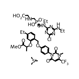 CCNc1nc(Cl)nc(NCC)n1.CCc1ccc(COc2ccc(-n3c(=O)cc(C(F)(F)F)n(C)c3=O)cc2)c(OC(C)C(=O)OC)c1.C[S+](C)C.O=C(O)CNCP(=O)([O-])O